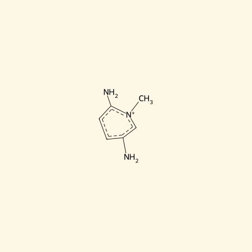 C[n+]1cc(N)ccc1N